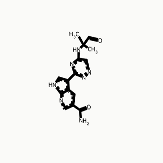 CC(C)(C=O)Nc1cnnc(-c2c[nH]c3ncc(C(N)=O)cc23)n1